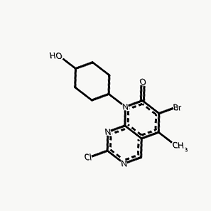 Cc1c(Br)c(=O)n(C2CCC(O)CC2)c2nc(Cl)ncc12